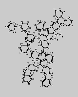 CC1(C)c2cc3c4ccccc4c4ccccc4c3cc2-c2c1c1c3ccc(-c4c5c(c(C(c6ccc7oc8ccccc8c7c6)c6ccc7oc8ccccc8c7c6)c6ccccc46)CC=CC5)cc3n(-c3cc(-c4cccc(-c5ccccc5)c4)nc(-c4ccccc4)n3)c1c1ccccc21